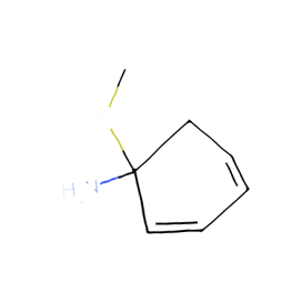 CSC1(N)[CH]C=CC=C1